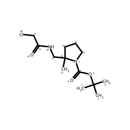 CC(C)(C)OC(=O)N1CCCC1(C)CNC(=O)CCl